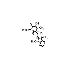 CCCCCCN1C(=O)C(C#N)=C(C)/C(=C/C=C2/N(C)c3ccccc3C2(C)C)C1=O